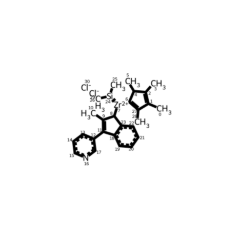 CC1=C(C)C(C)[C]([Zr+2]([CH]2C(C)=C(c3cccnc3)c3ccccc32)=[Si](C)C)=C1C.[Cl-].[Cl-]